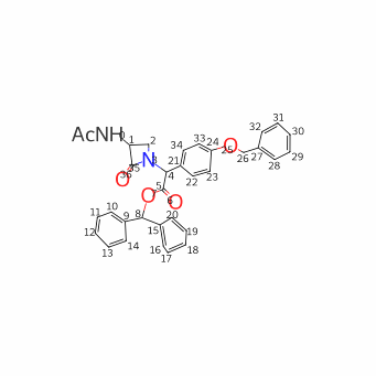 CC(=O)NC1CN(C(C(=O)OC(c2ccccc2)c2ccccc2)c2ccc(OCc3ccccc3)cc2)C1=O